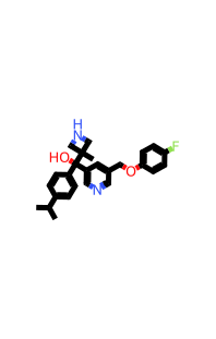 CC(C)c1ccc(C(O)(c2cncc(COc3ccc(F)cc3)c2)C2(C)CNC2)cc1